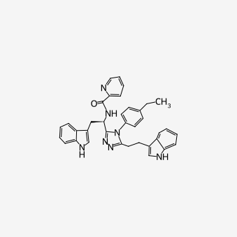 CCc1ccc(-n2c(CCc3c[nH]c4ccccc34)nnc2[C@@H](Cc2c[nH]c3ccccc23)NC(=O)c2ccccn2)cc1